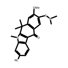 COc1cc2c(cc1SN(C)C)C(=O)c1c(n(C)c3cc(C#N)ccc13)C2(C)C